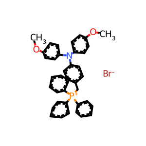 COc1ccc(N(c2ccc(C[P+](c3ccccc3)(c3ccccc3)c3ccccc3)cc2)c2ccc(OC)cc2)cc1.[Br-]